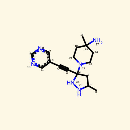 CC1CC(C#Cc2cncnc2)(N2CCC(C)(N)CC2)NN1